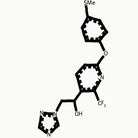 CSc1ccc(Oc2ccc(C(O)Cn3cncn3)c(C(F)(F)F)n2)cc1